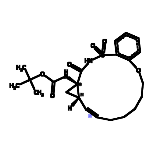 CC(C)(C)OC(=O)N[C@]12C[C@H]1/C=C\CCCCCOc1ccccc1S(=O)(=O)NC2=O